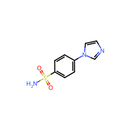 NS(=O)(=O)c1ccc(-n2ccnc2)cc1